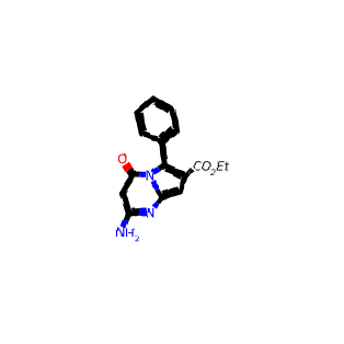 CCOC(=O)c1cc2n(c1-c1ccccc1)C(=O)CC(N)=N2